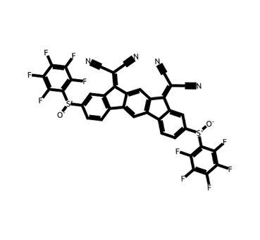 N#CC(C#N)=C1c2cc([S+]([O-])c3c(F)c(F)c(F)c(F)c3F)ccc2-c2cc3c(cc21)C(=C(C#N)C#N)c1cc([S+]([O-])c2c(F)c(F)c(F)c(F)c2F)ccc1-3